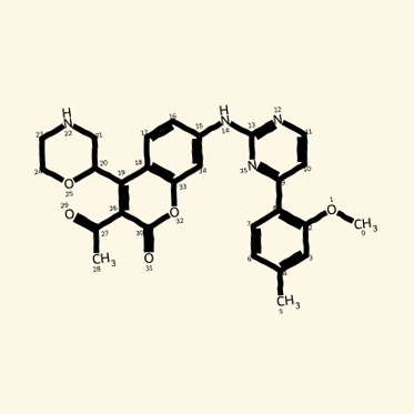 COc1cc(C)ccc1-c1ccnc(Nc2ccc3c(C4CNCCO4)c(C(C)=O)c(=O)oc3c2)n1